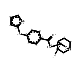 O=C(N[C@H]1CN2CCC1CC2)c1ccc(Sc2ccc[nH]2)cc1